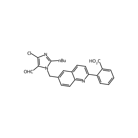 CCCCc1nc(Cl)c(C=O)n1Cc1ccc2nc(-c3ccccc3C(=O)O)ccc2c1